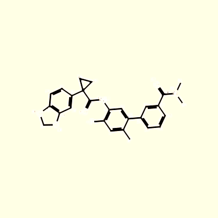 Cc1cc(F)c(NC(=O)C2(c3ccc4c(c3)OCO4)CC2)cc1-c1cccc(C(=O)N(C)C)c1